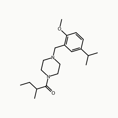 CCC(C)C(=O)N1CCN(Cc2cc(C(C)C)ccc2OC)CC1